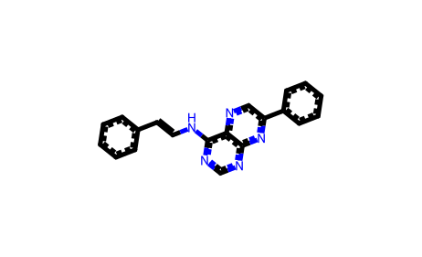 C(=C\c1ccccc1)/Nc1ncnc2nc(-c3ccccc3)cnc12